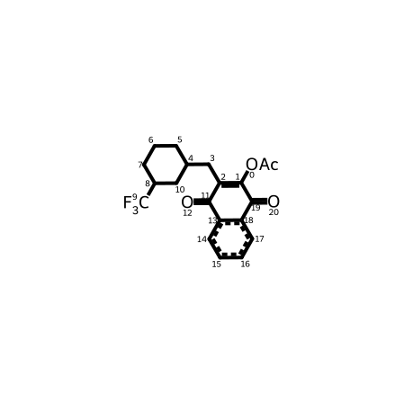 CC(=O)OC1=C(CC2CCCC(C(F)(F)F)C2)C(=O)c2ccccc2C1=O